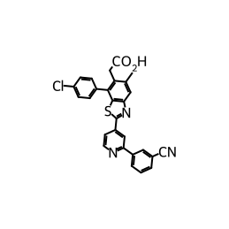 Cc1cc2nc(-c3ccnc(-c4cccc(C#N)c4)c3)sc2c(-c2ccc(Cl)cc2)c1CC(=O)O